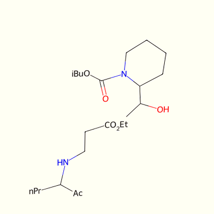 CC(C)COC(=O)N1CCCCC1C(C)O.CCCC(NCCC(=O)OCC)C(C)=O